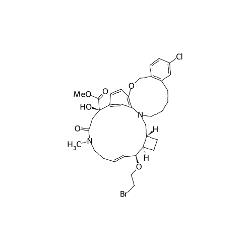 COC(=O)[C@@]1(O)CC(=O)N(C)CC/C=C/[C@H](OCCBr)[C@@H]2CC[C@H]2CN2CCCCc3cc(Cl)ccc3COc3ccc1cc32